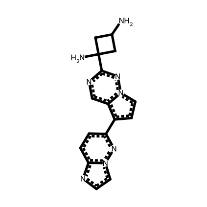 NC1CC(N)(c2ncc3c(-c4ccc5nccn5n4)ccn3n2)C1